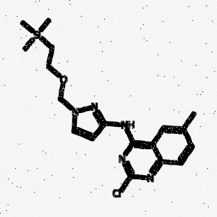 Cc1ccc2nc(Cl)nc(Nc3ccn(COCC[Si](C)(C)C)n3)c2c1